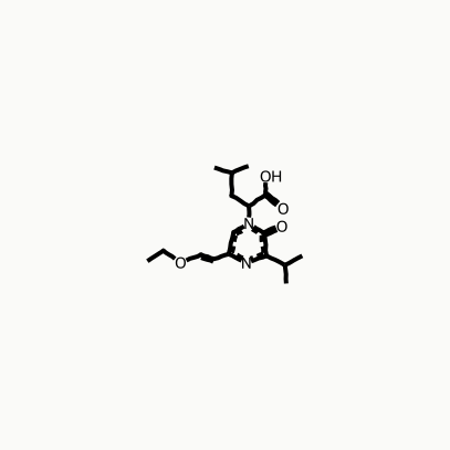 CCOC=Cc1cn(C(CC(C)C)C(=O)O)c(=O)c(C(C)C)n1